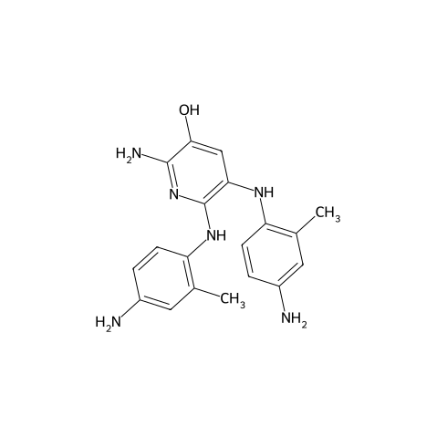 Cc1cc(N)ccc1Nc1cc(O)c(N)nc1Nc1ccc(N)cc1C